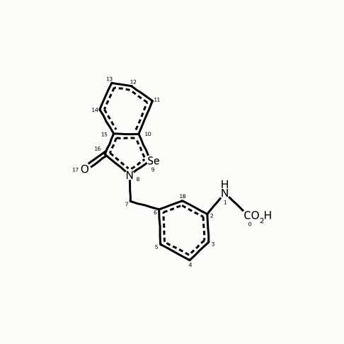 O=C(O)Nc1cccc(Cn2[se]c3ccccc3c2=O)c1